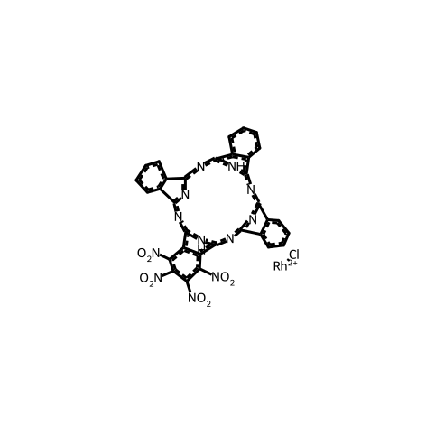 O=[N+]([O-])c1c([N+](=O)[O-])c([N+](=O)[O-])c2c3nc4nc(nc5[nH]c(nc6nc(nc([nH]3)c2c1[N+](=O)[O-])-c1ccccc1-6)c1ccccc51)-c1ccccc1-4.[Cl][Rh+2]